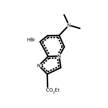 Br.CCOC(=O)c1cn2cc(N(C)C)ccc2n1